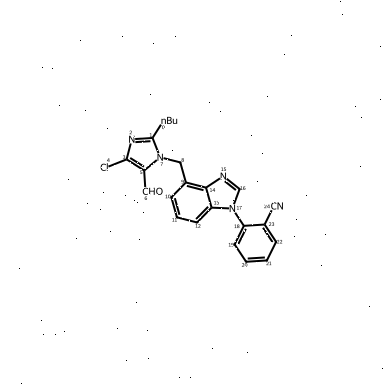 CCCCc1nc(Cl)c(C=O)n1Cc1cccc2c1ncn2-c1ccccc1C#N